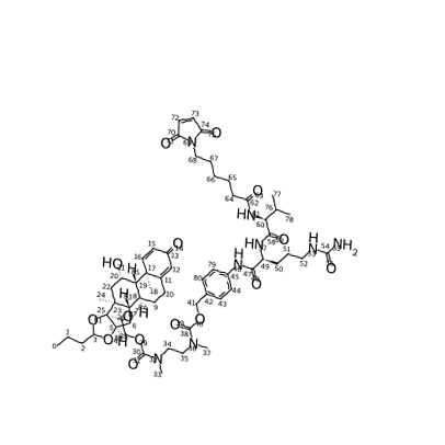 CCCC1O[C@@H]2C[C@H]3[C@@H]4CCC5=CC(=O)C=C[C@]5(C)[C@H]4[C@@H](O)C[C@]3(C)[C@]2(C(=O)COC(=O)N(C)CCN(C)C(=O)OCc2ccc(NC(=O)[C@H](CCCNC(N)=O)NC(=O)[C@@H](NC(=O)CCCCCN3C(=O)C=CC3=O)C(C)C)cc2)O1